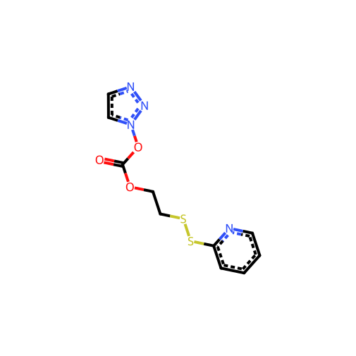 O=C(OCCSSc1ccccn1)On1ccnn1